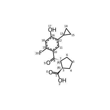 O=C(O)[C@@H]1CCC[C@H]1C(=O)c1cc(C2CC2)c(O)cc1F